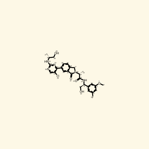 COc1cc(F)cc([C@@H](CO)NC(=O)[C@@H](C)N2Cc3ccc(-c4nc(N[C@H](C)CO)ncc4Cl)cc3C2=O)c1